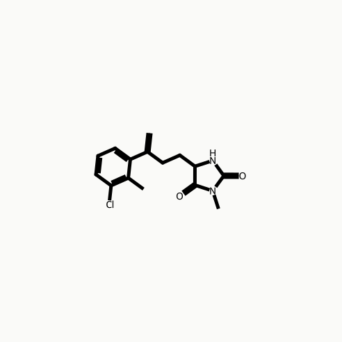 C=C(CCC1NC(=O)N(C)C1=O)c1cccc(Cl)c1C